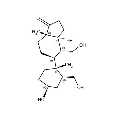 C[C@]1([C@H]2CC[C@]3(C)C(=O)CC[C@H]3[C@@H]2CO)CC[C@H](O)C[C@@H]1CO